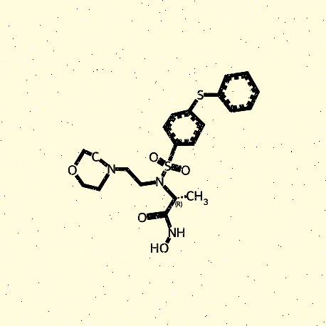 C[C@H](C(=O)NO)N(CCN1CCOCC1)S(=O)(=O)c1ccc(Sc2ccccc2)cc1